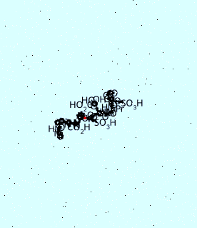 Cc1c(-c2ccc(N3CCc4cccc(C(=O)Nc5nc6ccccc6s5)c4C3)nc2C(=O)O)cnn1CC12CC3(C)CC4(C)CC(OCCN(CCS(=O)(=O)O)C(=O)OCc5ccc(NC(=O)[C@H](C)NC(=O)[C@@H](NC(=O)CN6C(=O)[C@@H](N7C(=O)C=CC7=O)C[C@H]6COCCS(=O)(=O)O)C(C)C)cc5CC[C@H]5C[C@@H](O)[C@H](O)[C@@H](C(=O)O)O5)(C1)C34C2